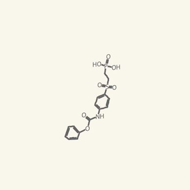 O=C(Nc1ccc(S(=O)(=O)CCP(=O)(O)O)cc1)Oc1ccccc1